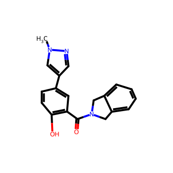 Cn1cc(-c2ccc(O)c(C(=O)N3Cc4ccccc4C3)c2)cn1